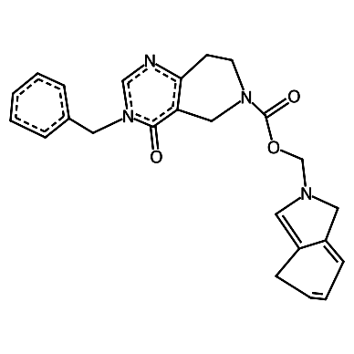 O=C(OCN1C=C2CC=CC=C2C1)N1CCc2ncn(Cc3ccccc3)c(=O)c2C1